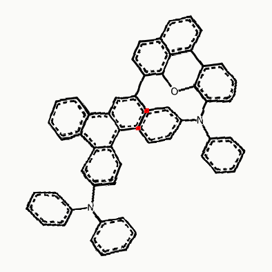 c1ccc(N(c2ccccc2)c2ccc3c4ccc(-c5ccc6cccc7c6c5Oc5c-7cccc5N(c5ccccc5)c5ccccc5)cc4c4ccccc4c3c2)cc1